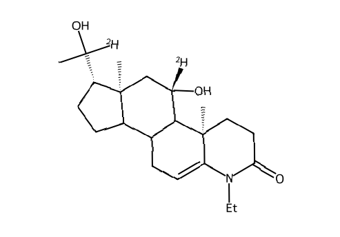 [2H]C(C)(O)[C@H]1CCC2C3CC=C4N(CC)C(=O)CC[C@]4(C)C3[C@@]([2H])(O)C[C@@]21C